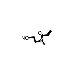 [CH]=CC(=O)N(C)CCC#N